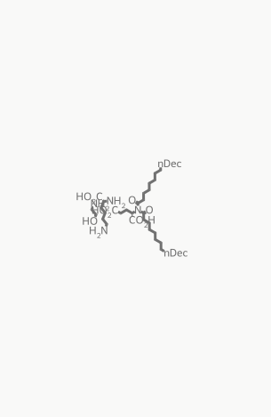 CCCCCCCCCCCCCCCCCC(=O)N(C(=O)CCCCCCCCCCCCCCCCC)[C@@H](CCC(=O)O)C(=O)O.NCCCC[C@H](N)C(=O)O.NCCO